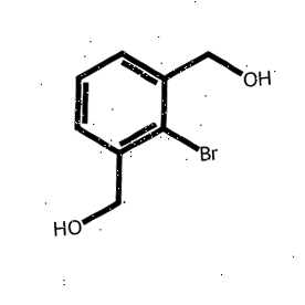 O[CH]c1cccc(CO)c1Br